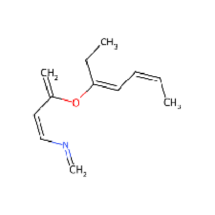 C=N/C=C\C(=C)O/C(=C/C=C\C)CC